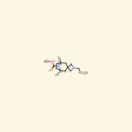 CCOC(=O)CN1CC2(C[C@H]3CC[C@@H](C2)N3C(=O)OC(C)(C)C)C1